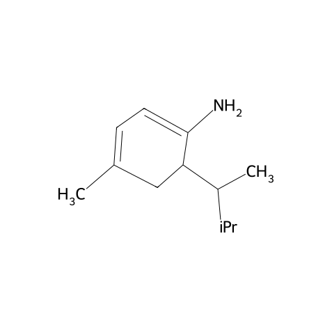 CC1=CC=C(N)C(C(C)C(C)C)C1